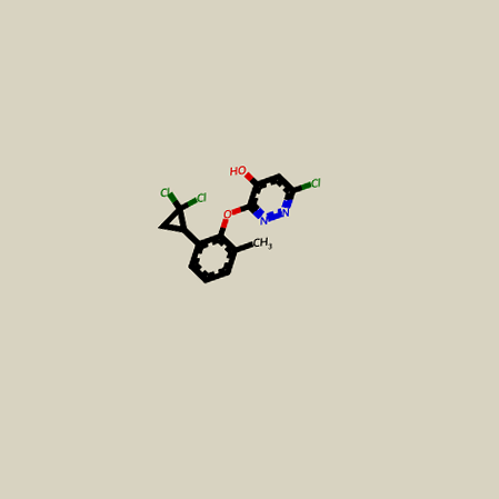 Cc1cccc(C2CC2(Cl)Cl)c1Oc1nnc(Cl)cc1O